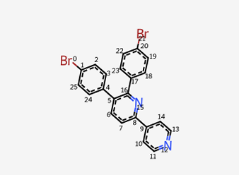 Brc1ccc(-c2ccc(-c3ccncc3)nc2-c2ccc(Br)cc2)cc1